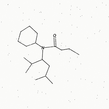 CCCC(=O)N(C1CCCCC1)C(CC(C)C)C(C)C